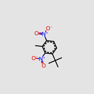 Cc1c([N+](=O)[O-])ccc(C(C)(C)C)c1[N+](=O)[O-]